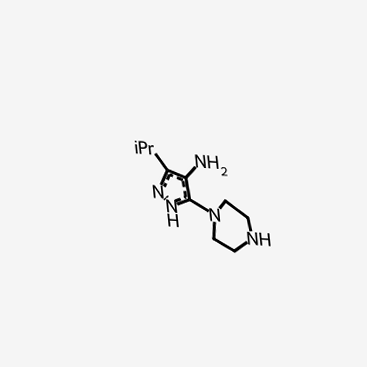 CC(C)c1n[nH]c(N2CCNCC2)c1N